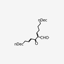 CCCCCCCCCCCC=CC(=O)C([C]=O)=CCCCCCCCCCCCCC